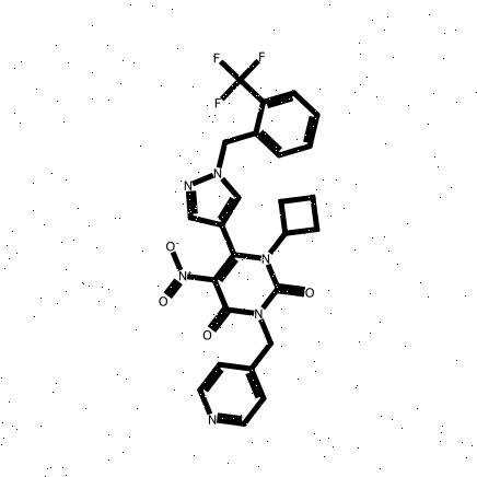 O=c1c([N+](=O)[O-])c(-c2cnn(Cc3ccccc3C(F)(F)F)c2)n(C2CCC2)c(=O)n1Cc1ccncc1